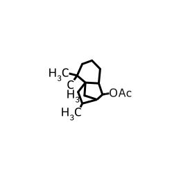 CC(=O)OC1C2CC3(CC2C)C1CCCC3(C)C